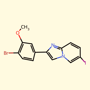 COc1cc(-c2cn3cc(I)ccc3n2)ccc1Br